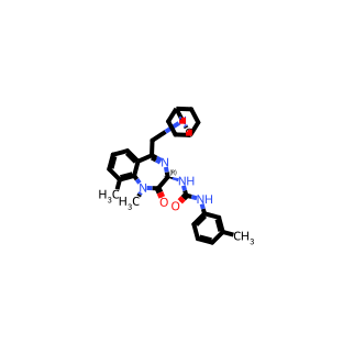 Cc1cccc(NC(=O)N[C@@H]2N=C(CN3CC4CCC(CC4)C3)c3cccc(C)c3N(C)C2=O)c1